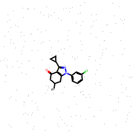 CC(C)C1CC(=O)c2c(C3CC3)nn(-c3cccc(Cl)c3)c2C1